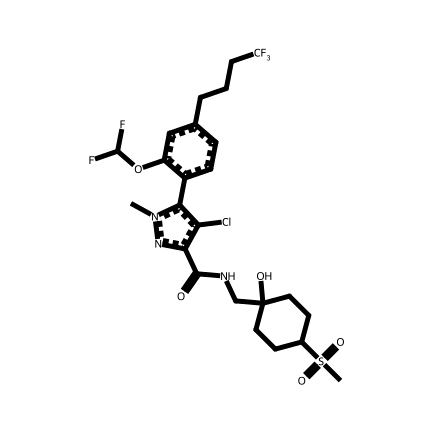 Cn1nc(C(=O)NCC2(O)CCC(S(C)(=O)=O)CC2)c(Cl)c1-c1ccc(CCCC(F)(F)F)cc1OC(F)F